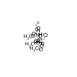 COC[C@H](NC(=O)c1cc(CC2CC2)on1)C(=O)N[C@@H](Cc1ccccc1)C(=O)N[C@@H](CC(C)C)C(=O)C1(C)CO1